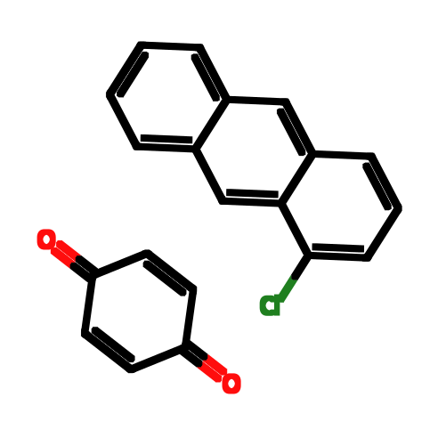 Clc1cccc2cc3ccccc3cc12.O=C1C=CC(=O)C=C1